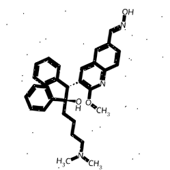 COc1nc2ccc(/C=N/O)cc2cc1[C@@H](c1ccccc1)[C@](O)(CCCCN(C)C)c1ccccc1